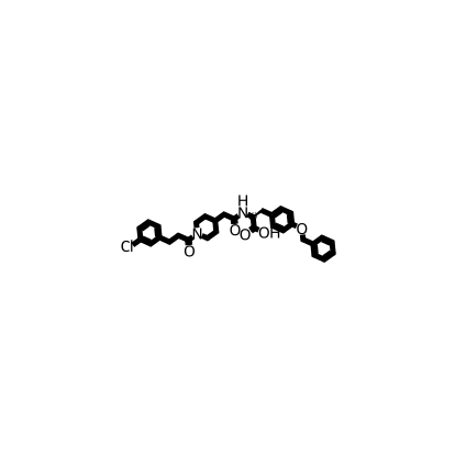 O=C(CC1CCN(C(=O)CCc2cccc(Cl)c2)CC1)N[C@@H](Cc1ccc(OCc2ccccc2)cc1)C(=O)O